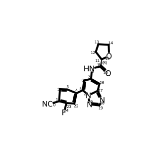 N#Cc1ccc(-c2cc(NC(=O)[C@H]3CCCO3)cc3ncnn23)cc1F